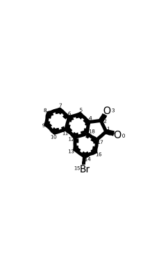 O=C1C(=O)c2cc3ccccc3c3cc(Br)cc1c23